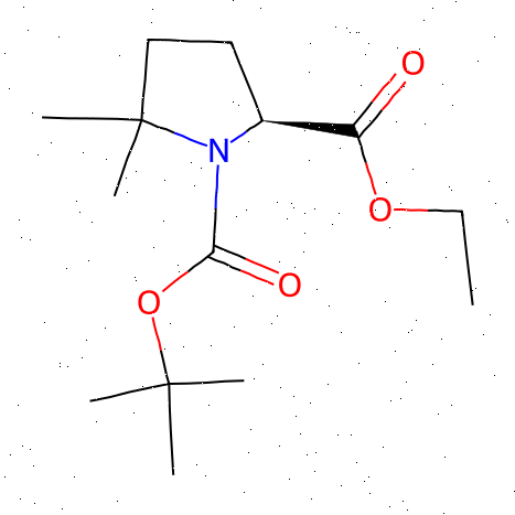 CCOC(=O)[C@@H]1CCC(C)(C)N1C(=O)OC(C)(C)C